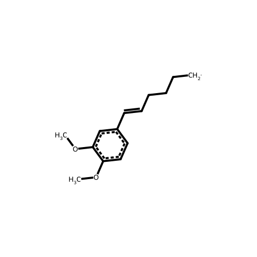 [CH2]CCC/C=C/c1ccc(OC)c(OC)c1